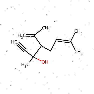 C#CC(C)(O)C(CC=C(C)C)C(=C)C